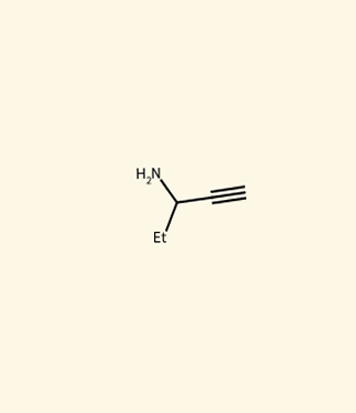 C#CC(N)CC